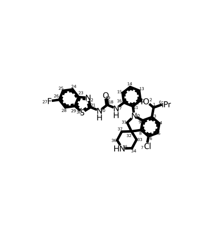 CC(C)C(O)c1ccc(Cl)c2c1N(c1ccccc1NC(=O)Nc1nc3ccc(F)cc3s1)CC21CCNCC1